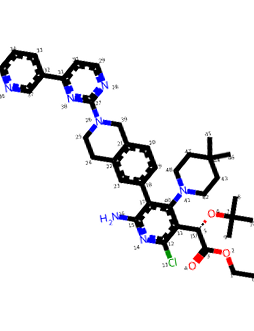 CCOC(=O)[C@@H](OC(C)(C)C)c1c(Cl)nc(N)c(-c2ccc3c(c2)CCN(c2nccc(-c4cccnc4)n2)C3)c1N1CCC(C)(C)CC1